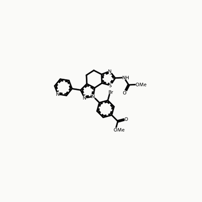 COC(=O)Nc1nc2c(s1)-c1c(c(-c3cccnc3)nn1-c1ccc(C(=O)OC)cc1Br)CC2